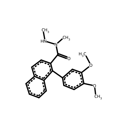 CNN(C)C(=O)c1ccc2ccccc2c1-c1ccc(OC)c(OC)c1